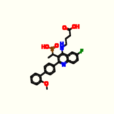 COc1ccccc1-c1ccc(-c2nc3ccc(F)cc3c(NCCCC(=O)O)c2C(C)S(=O)O)cc1